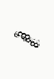 C[C@]12CC=C3C=C4CCC5(C[C@]46CC[C@]3(O6)[C@@H]1CC[C@@]2(O)c1ccc2ccnc(Cl)c2c1)OCCO5